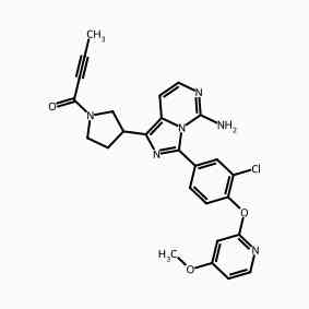 CC#CC(=O)N1CCC(c2nc(-c3ccc(Oc4cc(OC)ccn4)c(Cl)c3)n3c(N)nccc23)C1